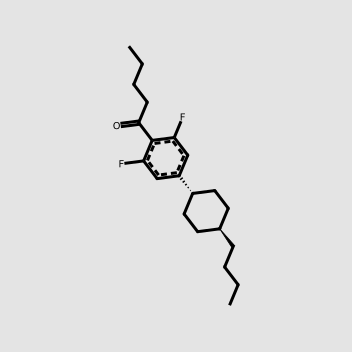 CCCCC(=O)c1c(F)cc([C@H]2CC[C@H](CCCC)CC2)cc1F